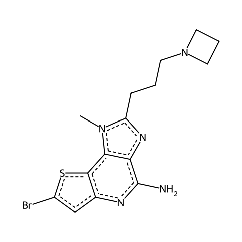 Cn1c(CCCN2CCC2)nc2c(N)nc3cc(Br)sc3c21